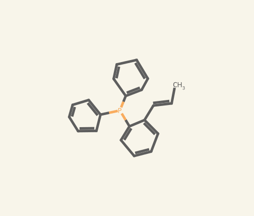 C/C=C/c1ccccc1P(c1ccccc1)c1ccccc1